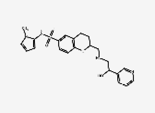 Cn1cccc1NS(=O)(=O)c1ccc2c(c1)CCC(CNCC(O)c1cccnc1)O2